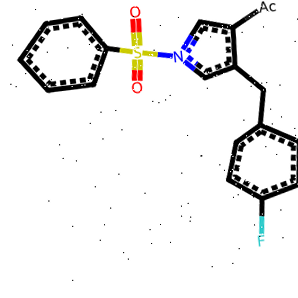 CC(=O)c1cn(S(=O)(=O)c2ccccc2)cc1Cc1ccc(F)cc1